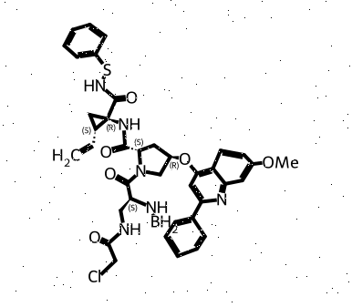 BN[C@@H](CNC(=O)CCl)C(=O)N1C[C@H](Oc2cc(-c3ccccc3)nc3cc(OC)ccc23)C[C@H]1C(=O)N[C@]1(C(=O)NSc2ccccc2)C[C@H]1C=C